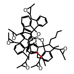 CCCCC(CC)C(OP(=O)(OC(c1ccccc1CC1OC1C)(c1ccccc1CC1OC1C)C(CC)CCCC)OC(c1ccccc1CC1OC1C)(c1ccccc1CC1OC1C)C(CC)CCCC)(c1ccccc1CC1OC1C)c1ccccc1CC1OC1C